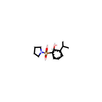 CC(C)c1cccc(S(=O)(=O)N2CCCC2)c1O